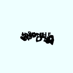 O=C(Cn1ccc2cccc(F)c21)Nc1ccc(S(=O)(=O)Nc2nccs2)cc1